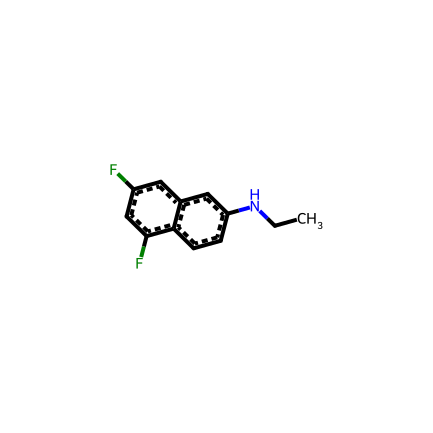 CCNc1ccc2c(F)cc(F)cc2c1